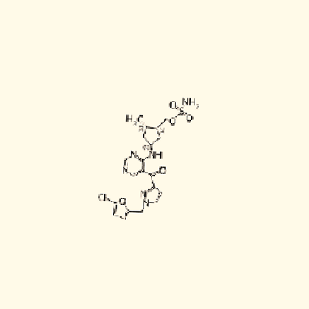 C[C@H]1C[C@H](Nc2ncncc2C(=O)c2ccn(Cc3ccc(Cl)o3)n2)C[C@@H]1COS(N)(=O)=O